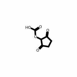 O=C(O)OC1C(=O)CCC1=O